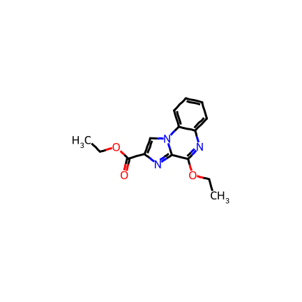 CCOC(=O)c1cn2c(n1)c(OCC)nc1ccccc12